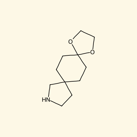 C1CC2(CCC3(CC2)OCCO3)CN1